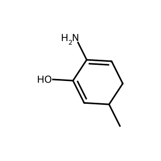 CC1C=C(O)C(N)=CC1